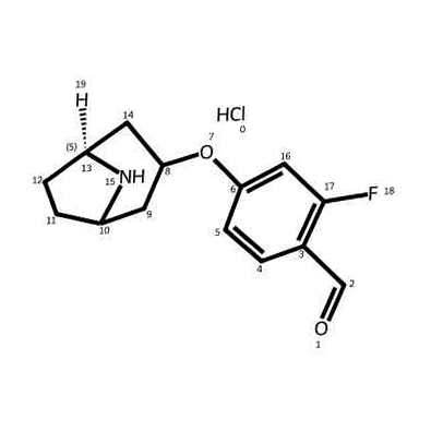 Cl.O=Cc1ccc(OC2CC3CC[C@@H](C2)N3)cc1F